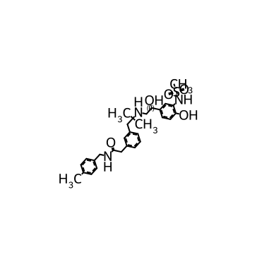 Cc1ccc(CNC(=O)Cc2cccc(CC(C)(C)NC[C@H](O)c3ccc(O)c(NS(C)(=O)=O)c3)c2)cc1